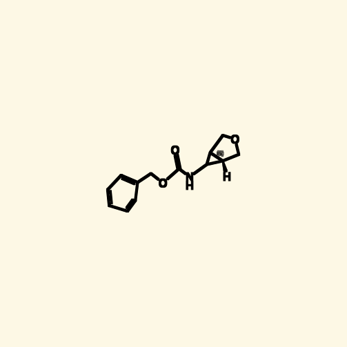 O=C(NC1C2COC[C@@H]21)OCc1ccccc1